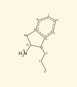 CCCC1c2ccccc2CC1N